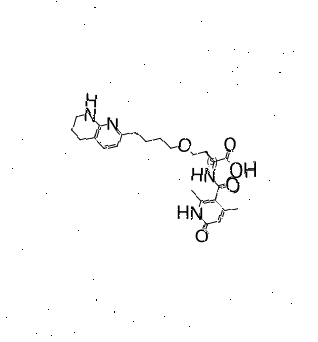 Cc1cc(=O)[nH]c(C)c1C(=O)N[C@@H](CCOCCCCc1ccc2c(n1)NCCC2)C(=O)O